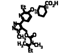 C=C(CC)N(C)C(=O)OCc1c(-c2ccc(O[C@H]3CCC[C@H](C(=O)O)C3)c(CC)n2)nnn1C